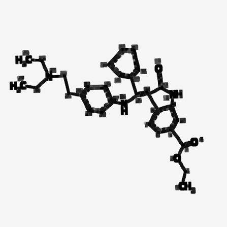 CCOC(=O)c1ccc2c(c1)NC(=O)C2=C(Nc1ccc(CCN(CC)CC)cc1)c1ccccc1